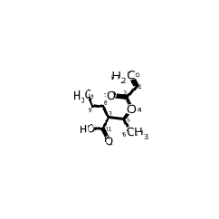 C=CC(=O)OC(C)C(CCC)C(=O)O